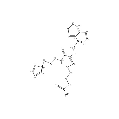 O=C(O)CCCCC=C(COc1cccc2ccccc12)C(=O)NCCCn1ccnc1